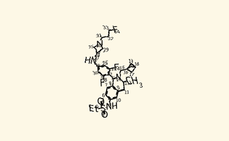 CCS(=O)(=O)Nc1ccc2c(c1)CC(C)N(CC13CC(C1)C3)C2c1c(F)cc(NC2CN(CCCF)C2)cc1F